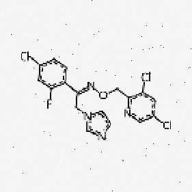 Fc1cc(Cl)ccc1C(Cn1ccnc1)=NOCc1ncc(Cl)cc1Cl